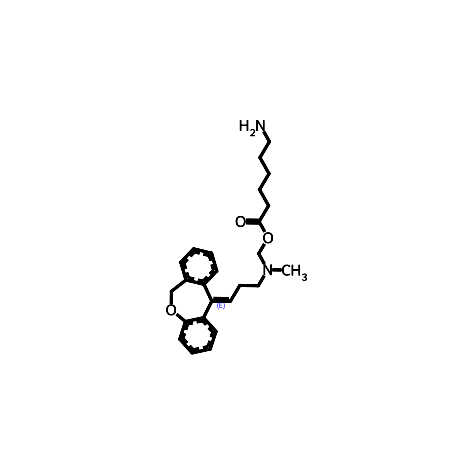 CN(CC/C=C1\c2ccccc2COc2ccccc21)COC(=O)CCCCCN